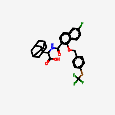 O=C(NC(C(=O)O)C12CC3CC(CC(C3)C1)C2)c1ccc2cc(F)ccc2c1OCc1ccc(SC(F)(F)F)cc1